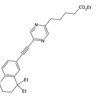 CCOC(=O)CCCCc1cnc(C#Cc2ccc3c(c2)C(CC)(CC)CCS3)cn1